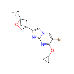 CC12CC(c3cn4cc(Br)c(OC5CC5)nc4n3)(CO1)C2